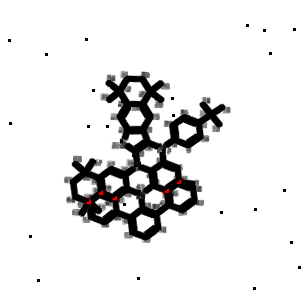 Cc1cc2c3c(c1)N(c1ccc(C(C)(C)C)cc1)c1c(sc4cc5c(cc14)C(C)(C)CCC5(C)C)B3c1cc3c(cc1N2c1c(-c2ccccc2)cccc1-c1ccccc1)C(C)(C)CCC3(C)C